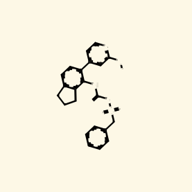 COc1cc(-c2ccc3c(c2NC(=O)NS(=O)(=O)Cc2ccccc2)CCC3)ccn1